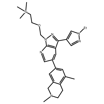 CCn1cc(-c2nn(COCC[Si](C)(C)C)c3ncc(-c4cc(C)c5c(c4)CN(C)CC5)cc23)cn1